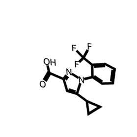 O=C(O)c1cc(C2CC2)n(-c2ccccc2C(F)(F)F)n1